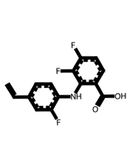 C=Cc1ccc(Nc2c(C(=O)O)ccc(F)c2F)c(F)c1